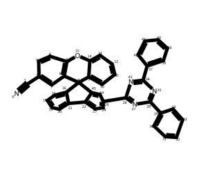 N#Cc1ccc2c(c1)C1(c3ccccc3O2)c2ccccc2-c2ccc(-c3nc(-c4ccccc4)nc(-c4ccccc4)n3)cc21